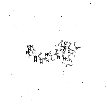 C[C@H]1COCCN1c1cc(C2(S(=O)(=O)c3ccc(F)cc3)CC2)nc(-c2cnc(NC(=O)Nc3cnn(C)c3)nc2)n1